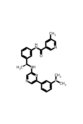 Cc1cncc(C(=O)Nc2cccc([C@H](C)Nc3cncc(-c4cccc(N(C)C)c4)n3)c2)c1